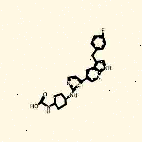 O=C(O)NC1CCC(Nc2cc(-c3cnc4[nH]cc(Cc5ccc(F)cc5)c4c3)ccn2)CC1